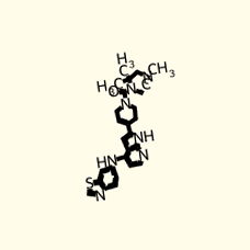 CN1CCN(C(=O)N2CC=C(c3cc4c(Nc5ccc6ncsc6c5)ccnc4[nH]3)CC2)C(C)(C)C1